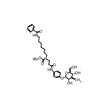 C=C1[C@@H](O)[C@@H](Oc2ccc(NC(=O)CCN(CCCCCCCNC(=O)c3ccccc3)C(=O)OC(C)(C)C)cc2)O/C(=C/O)[C@H]1O